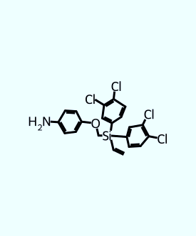 C=C[Si](COc1ccc(N)cc1)(c1ccc(Cl)c(Cl)c1)c1ccc(Cl)c(Cl)c1